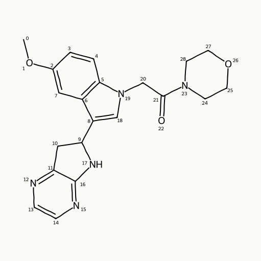 COc1ccc2c(c1)c(C1Cc3nccnc3N1)cn2CC(=O)N1CCOCC1